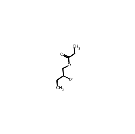 CCC(=O)OCC(Br)CC